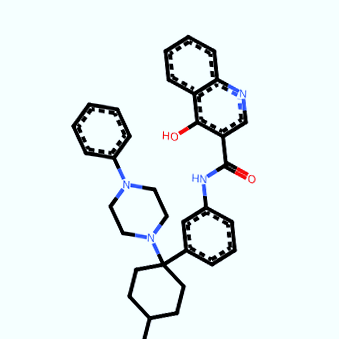 CC1CCC(c2cccc(NC(=O)c3cnc4ccccc4c3O)c2)(N2CCN(c3ccccc3)CC2)CC1